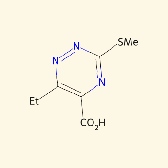 CCc1nnc(SC)nc1C(=O)O